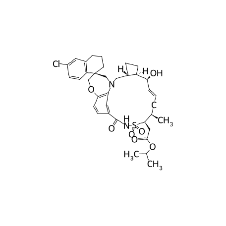 CC(C)OC(=O)C[C@@H]1[C@H](C)C/C=C/[C@H](O)[C@@H]2CC[C@H]2CN2C[C@@]3(CCCc4cc(Cl)ccc43)COc3ccc(cc32)C(=O)NS1(=O)=O